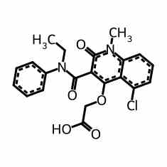 CCN(C(=O)c1c(OCC(=O)O)c2c(Cl)cccc2n(C)c1=O)c1ccccc1